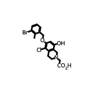 Cc1c(Br)cccc1COc1cc(O)c2c(c1Cl)CCN(CC(=O)O)C2